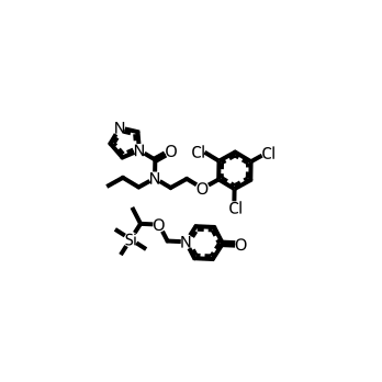 CC(OCn1ccc(=O)cc1)[Si](C)(C)C.CCCN(CCOc1c(Cl)cc(Cl)cc1Cl)C(=O)n1ccnc1